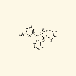 Oc1cccc(-n2c3ccccc3n3c4ccccc4nc23)c1